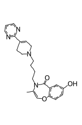 CC1=COc2ccc(O)cc2C(=O)N1CCCCN1CC=C(c2ncccn2)CC1